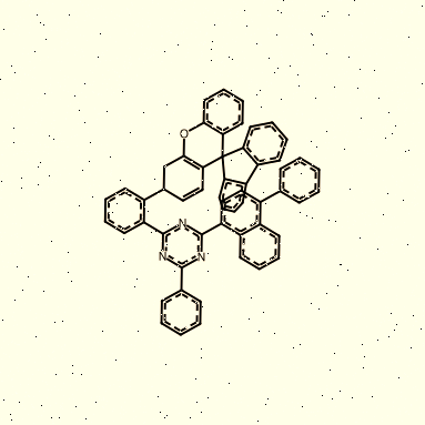 C1=CC(c2ccccc2-c2nc(-c3ccccc3)nc(-c3ccc(-c4ccccc4)c4ccccc34)n2)CC2=C1C1(c3ccccc3O2)c2ccccc2-c2ccccc21